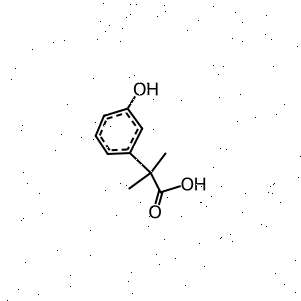 CC(C)(C(=O)O)c1cccc(O)c1